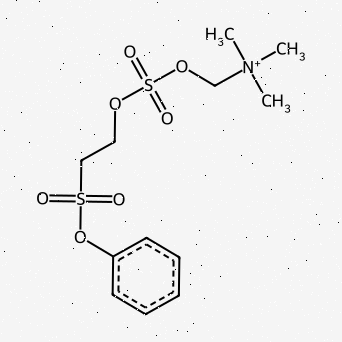 C[N+](C)(C)COS(=O)(=O)OCCS(=O)(=O)Oc1ccccc1